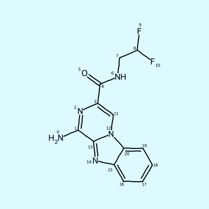 Nc1nc(C(=O)NCC(F)F)cn2c1nc1ccccc12